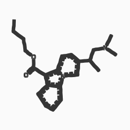 CCCCOC(=O)c1c2ccccc2n2cc(C(C)CN(C)C)ccc12